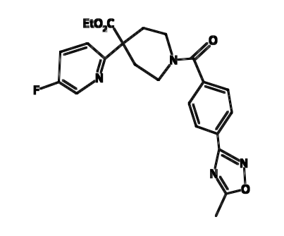 CCOC(=O)C1(c2ccc(F)cn2)CCN(C(=O)c2ccc(-c3noc(C)n3)cc2)CC1